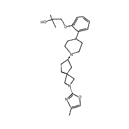 Cc1coc(N2CC3(CC[C@@H](N4CCC(c5ccccc5OCC(C)(C)O)CC4)C3)C2)n1